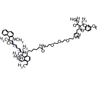 C=Cc1ccc2c(c1/C=C\C)C(C)(C)C(C)(/C=C/C=C/C=C1\N(C)c3ccc4ccccc4c3C1(C)C)N2CCCCCC(=O)NCCOCCOCCOCCn1cc(CN(Oc2ccc(OC)cc2)[C@@H](C(=O)NO)C(C)C)nn1